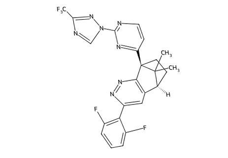 CC1(C)[C@H]2CC[C@@]1(c1ccnc(-n3cnc(C(F)(F)F)n3)n1)c1nnc(-c3c(F)cccc3F)cc12